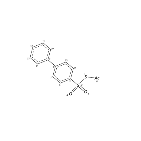 CC(=O)SS(=O)(=O)c1ccc(-c2ccccc2)cc1